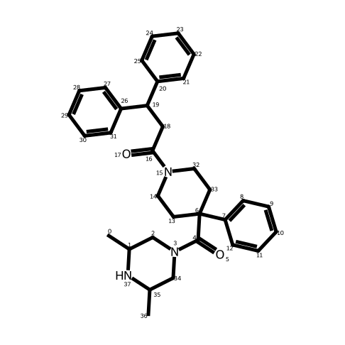 CC1CN(C(=O)C2(c3ccccc3)CCN(C(=O)CC(c3ccccc3)c3ccccc3)CC2)CC(C)N1